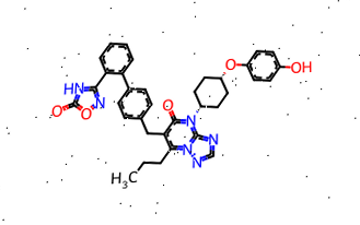 CCCc1c(Cc2ccc(-c3ccccc3-c3noc(=O)[nH]3)cc2)c(=O)n([C@H]2CC[C@@H](Oc3ccc(O)cc3)CC2)c2ncnn12